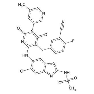 Cc1cncc(-n2c(=O)nc(Nc3cc4sc(NS(C)(=O)=O)nc4cc3Cl)n(Cc3ccc(F)c(C#N)c3)c2=O)c1